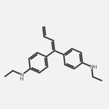 C=CC=C(c1ccc(NCC)cc1)c1ccc(NCC)cc1